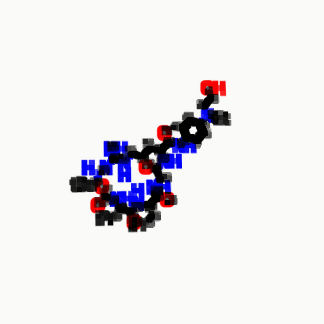 CCN(CCO)c1ccc(NC(=O)[C@H](CCCNC(=N)N)NC(=O)CNC(=O)[C@H](CC(C)C)NC(=O)[C@@H](NC(=O)OC(C)(C)C)C(C)C)cc1